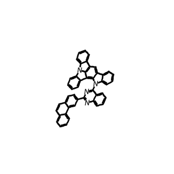 c1ccc2c(c1)ccc1ccc(-c3nc(-n4c5ccccc5c5cc6c7ccccc7n7c8ccccc8c(c54)c67)c4ccccc4n3)cc12